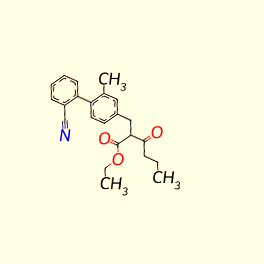 CCCC(=O)C(Cc1ccc(-c2ccccc2C#N)c(C)c1)C(=O)OCC